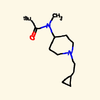 CN(C(=O)C(C)(C)C)C1CCN(CC2CC2)CC1